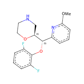 COc1cccc([C@H](Oc2c(F)cccc2F)[C@@H]2CNCCO2)n1